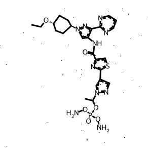 CCO[C@H]1CC[C@H](n2cc(NC(=O)c3csc(-c4cnn(C(C)OP(=O)(ON)ON)c4)n3)c(-c3ncccn3)n2)CC1